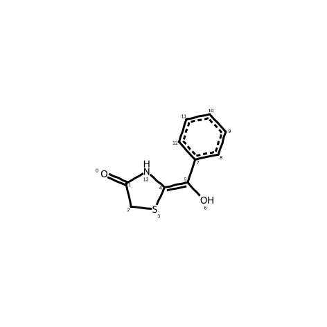 O=C1CSC(=C(O)c2ccccc2)N1